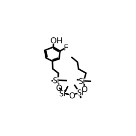 CCCC[Si](C)(C)O[Si](C)(C)O[Si](C)(C)O[Si](C)(C)CCc1ccc(O)c(F)c1